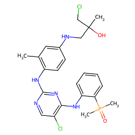 Cc1cc(NCC(C)(O)CCl)ccc1Nc1ncc(Cl)c(Nc2ccccc2P(C)(C)=O)n1